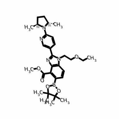 CCOCCn1c(-c2ccc(N3[C@@H](C)CC[C@@H]3C)nc2)nc2c(C(=O)OC)c(B3OC(C)(C)C(C)(C)O3)ccc21